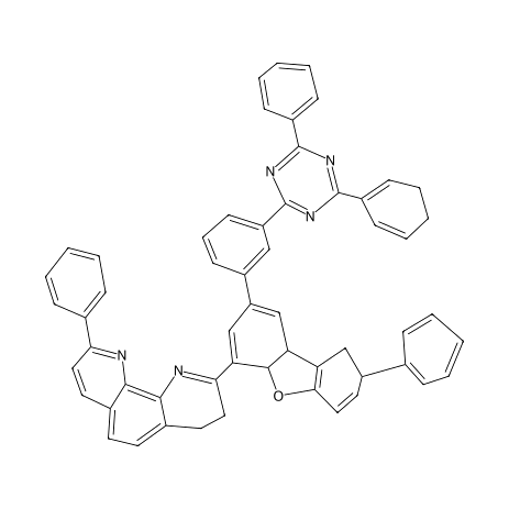 C1=CC(c2nc(-c3ccccc3)nc(-c3cccc(C4=CC5C6=C(C=CC(c7ccccc7)C6)OC5C(C5=Nc6c(ccc7ccc(-c8ccccc8)nc67)CC5)=C4)c3)n2)=CCC1